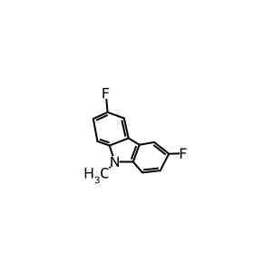 Cn1c2ccc(F)cc2c2cc(F)ccc21